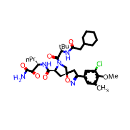 CCC[C@H](NC(=O)[C@@H]1C[C@]2(CC(c3cc(C)c(OC)c(Cl)c3)=NO2)CN1C(=O)[C@@H](NC(=O)CC1CCCCC1)C(C)(C)C)C(=O)C(N)=O